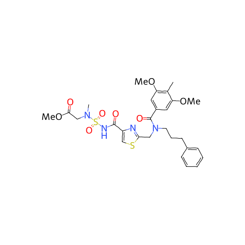 COC(=O)CN(C)S(=O)(=O)NC(=O)c1csc(CN(CCCc2ccccc2)C(=O)c2cc(OC)c(C)c(OC)c2)n1